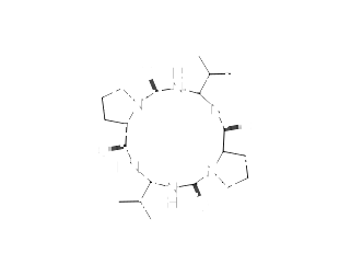 CC(C)C1NC(=O)C2CCCN2C(=O)NC(C(C)C)NC(=O)C2CCCN2C(=O)N1